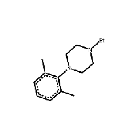 CCN1CCN(c2c(C)cccc2C)CC1